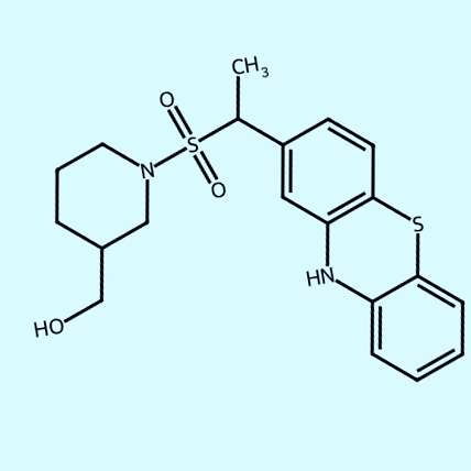 CC(c1ccc2c(c1)Nc1ccccc1S2)S(=O)(=O)N1CCCC(CO)C1